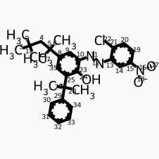 CC(C)(C)CC(C)(C)c1cc(N=Nc2cc([N+](=O)[O-])ccc2Cl)c(O)c(C(C)(C)c2ccccc2)c1